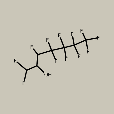 OC(C(F)F)C(F)C(F)(F)C(F)(F)C(F)(F)C(F)(F)F